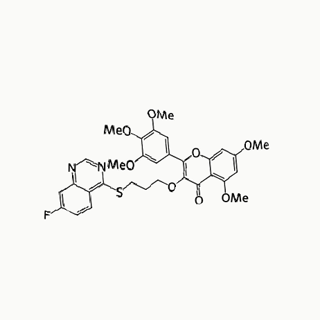 COc1cc(OC)c2c(=O)c(OCCCSc3ncnc4cc(F)ccc34)c(-c3cc(OC)c(OC)c(OC)c3)oc2c1